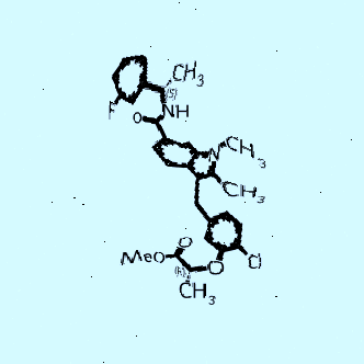 COC(=O)[C@@H](C)Oc1cc(Cc2c(C)n(C)c3cc(C(=O)N[C@@H](C)c4cccc(F)c4)ccc23)ccc1Cl